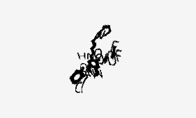 O=C(/C=C/CN1CCCCC1)Nc1cc2c(Oc3cccc(Cl)c3F)ncnc2cc1OCCOC(F)F